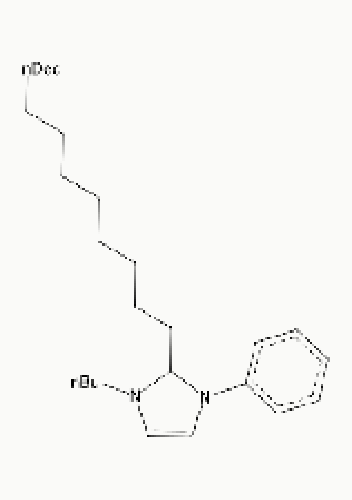 CCCCCCCCCCCCCCCCCCC1N(CCCC)C=CN1c1ccccc1